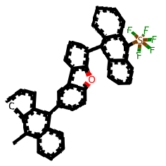 Cc1c2ccccc2c(-c2ccc3oc4c(-c5c6ccccc6c(S(F)(F)(F)(F)F)c6ccccc56)cccc4c3c2)c2ccccc12